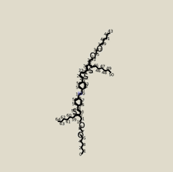 CCCCCCOCCOCCc1cc(-c2ccc(/C=C/c3ccc(-c4ccc(-c5cc(CCOCCOCCCCCC)c(CCCCCC)s5)s4)cc3)cc2)sc1CCCCCC